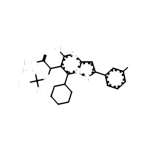 Cc1nc2cc(-c3cccc(Cl)c3)nn2c(C2CCCCC2)c1C(OC(C)(C)C)C(=O)O